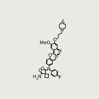 COc1cc2c(Oc3ccc(N(C(=O)C4(C(N)=O)CCC4)c4ccc(F)cc4)cc3F)ncnc2cc1OCCCN1CCN(C)CC1